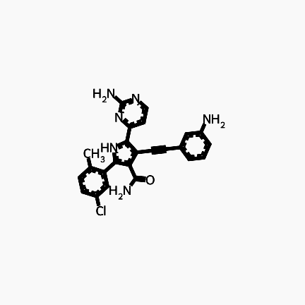 Cc1ccc(Cl)cc1-c1[nH]c(-c2ccnc(N)n2)c(C#Cc2cccc(N)c2)c1C(N)=O